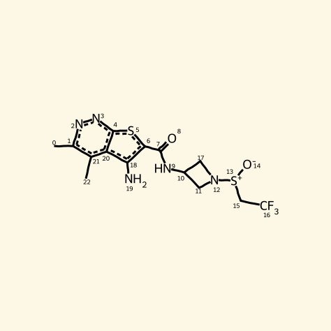 Cc1nnc2sc(C(=O)NC3CN([S+]([O-])CC(F)(F)F)C3)c(N)c2c1C